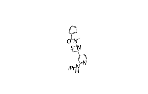 CC(C)Nc1cc(-c2csc(N(C)C(=O)c3ccccc3)n2)ccn1